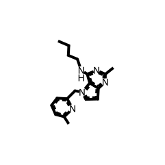 CCCCNc1nc(C)nc2ccn(Cc3cccc(C)n3)c12